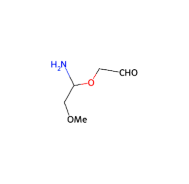 COCC(N)OCC=O